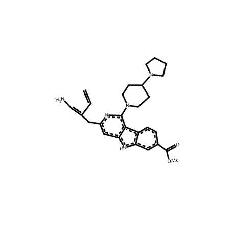 C=C/C(=C\N)Cc1cc2[nH]c3cc(C(=O)OC)ccc3c2c(N2CCC(N3CCCC3)CC2)n1